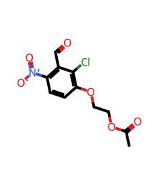 CC(=O)OCCOc1ccc([N+](=O)[O-])c(C=O)c1Cl